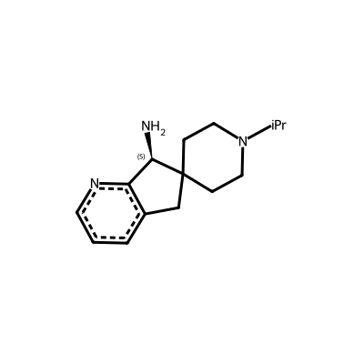 CC(C)N1CCC2(CC1)Cc1cccnc1[C@H]2N